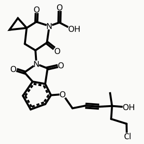 CC(O)(C#CCOc1cccc2c1C(=O)N(C1CC3(CC3)C(=O)N(C(=O)O)C1=O)C2=O)CCCl